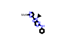 CNc1nccc(-c2nc3cnc(Nc4ccccc4)nc3n2C2CC2)n1